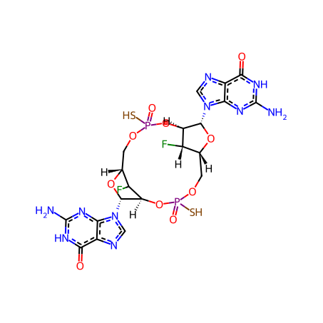 Nc1nc2c(ncn2[C@@H]2O[C@@H]3COP(=O)(S)O[C@@H]4C(F)[C@@H](COP(=O)(S)O[C@@H]2[C@H]3F)O[C@H]4n2cnc3c(=O)[nH]c(N)nc32)c(=O)[nH]1